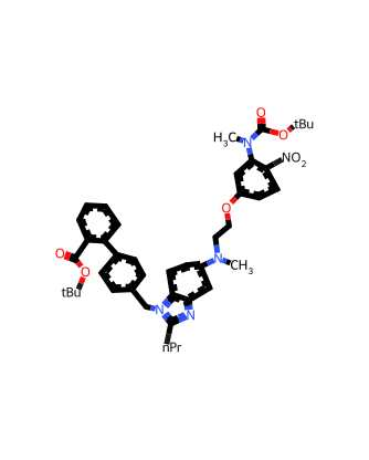 CCCc1nc2cc(N(C)CCOc3ccc([N+](=O)[O-])c(N(C)C(=O)OC(C)(C)C)c3)ccc2n1Cc1ccc(-c2ccccc2C(=O)OC(C)(C)C)cc1